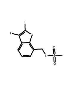 CS(=O)(=O)OCc1cccc2c(F)c(I)oc12